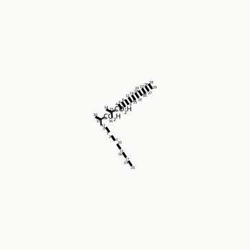 C=C.C=C.C=C.C=C.C=C.C=C.C=C.C=C.C=C.C=C.C=C.C=C.C=C.C=C.C=C.C=C(C)C(=O)O.C=C(C)C(=O)O